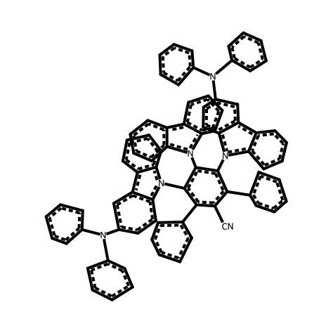 N#Cc1c(-c2ccccc2)c(-n2c3ccccc3c3cc(N(c4ccccc4)c4ccccc4)ccc32)c(-n2c3ccccc3c3ccccc32)c(-n2c3ccccc3c3cc(N(c4ccccc4)c4ccccc4)ccc32)c1-c1ccccc1